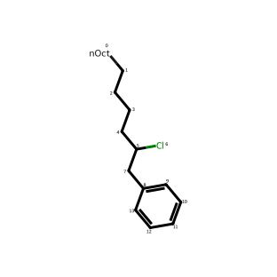 CCCCCCCCCCCCC(Cl)Cc1ccccc1